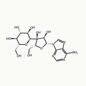 Nc1ncnc2c1ncn2[C@@H]1O[C@H](CO)[C@](O)([C@H]2O[C@H](CO)[C@@H](O)[C@H](O)[C@H]2O)[C@H]1O